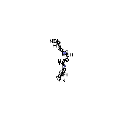 C/C(=N\OC(=O)NC(C)(C)c1cccc(C(C)(C)NC(=O)O/N=C(\C)c2ccc(OC(=O)Nc3ccc(C)c(OC#N)c3)cc2)c1)c1ccc(OC(=O)Nc2ccc(C)c(OC#N)c2)cc1